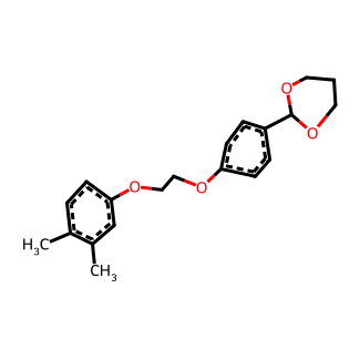 Cc1ccc(OCCOc2ccc(C3OCCCO3)cc2)cc1C